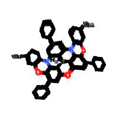 CC(C)(C)c1ccc2c(c1)Oc1c(-c3ccccc3)cc3c4c1N2c1cc(-c2ccccc2)cc2c1[Si]4(C)c1c(cc(-c4ccccc4)c4c1N2c1ccc(C(C)(C)C)cc1O4)O3